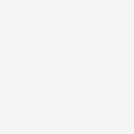 CC(=O)Oc1ccc(C)cc1Cc1cc(C2(c3cc(C)c(O)c(Cc4cc(C)ccc4OC(C)=O)c3)CCCCC2)cc(C)c1O